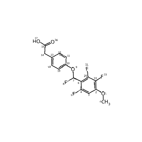 COc1cc(F)c(C(F)Oc2ccc(CC(=O)O)cc2)c(F)c1F